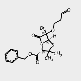 CC1(C)S[C@H]2N(C(=O)[C@]2(Br)OCCC=O)[C@H]1C(=O)OCc1ccccc1